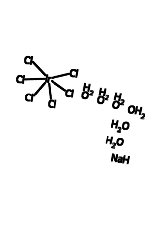 O.O.O.O.O.O.[Cl][Ir]([Cl])([Cl])([Cl])([Cl])[Cl].[NaH]